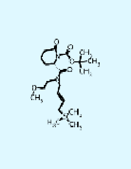 COCCN(CC=CC[Si](C)(C)C)C(=O)[C@@H]1CCCC(=O)N1C(=O)OC(C)(C)C